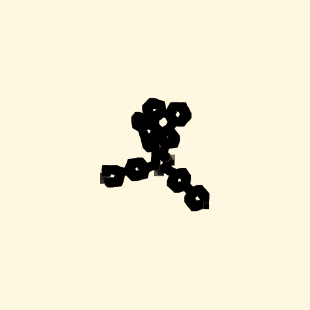 c1ccc2c(c1)-c1ccccc1C1(c3cc(-c4cc(-c5ccc(-c6ccncc6)cc5)nc(-c5ccc(-c6ccncc6)cc5)n4)ccc3-2)c2ccccc2-c2ccccc21